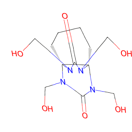 O=C1N(CO)[C@]23CCCC[C@]2(N(CO)C(=O)N3CO)N1CO